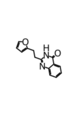 O=c1[nH]c(CCc2ccco2)nc2ccccc12